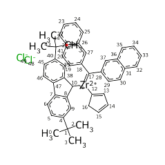 CC(C)(C)c1ccc2c(c1)[CH]([Zr+2]([C]1=CC=CC1)=[C](c1ccc3ccccc3c1)c1ccc3ccccc3c1)c1cc(C(C)(C)C)ccc1-2.[Cl-].[Cl-]